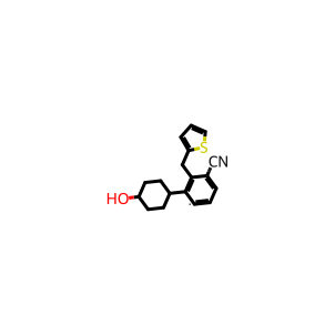 N#Cc1cc[c]c(C2CCC(O)CC2)c1Cc1cccs1